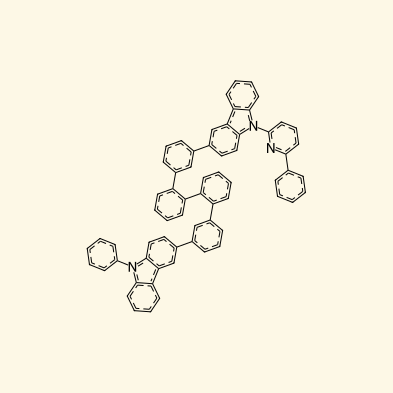 c1ccc(-c2cccc(-n3c4ccccc4c4cc(-c5cccc(-c6ccccc6-c6ccccc6-c6cccc(-c7ccc8c(c7)c7ccccc7n8-c7ccccc7)c6)c5)ccc43)n2)cc1